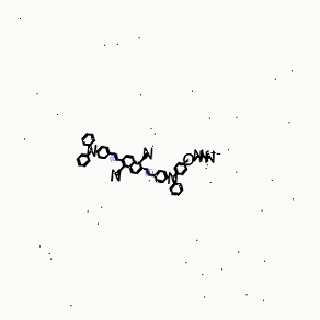 N#Cc1c(/C=C/C2=CC=C(N(c3ccccc3)C3C=CC=CC3)CC2)ccc2c(C#N)c(/C=C/c3ccc(N(c4ccccc4)c4ccc(OCN=[N+]=[N-])cc4)cc3)ccc12